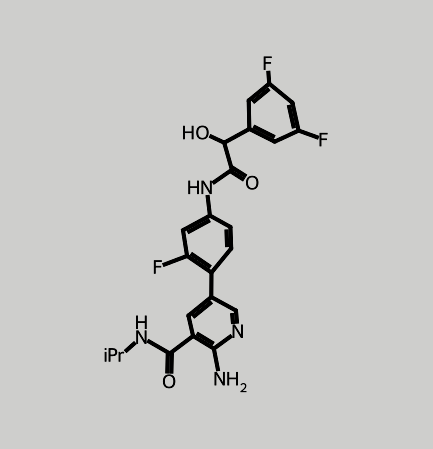 CC(C)NC(=O)c1cc(-c2ccc(NC(=O)C(O)c3cc(F)cc(F)c3)cc2F)cnc1N